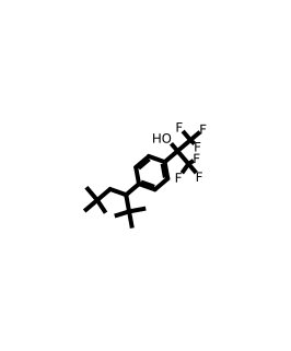 CC(C)(C)CC(c1ccc(C(O)(C(F)(F)F)C(F)(F)F)cc1)C(C)(C)C